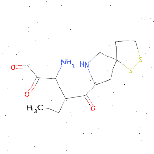 CCC(C(=O)C1CC2(CCSS2)CN1)C(N)C(=O)[C]=O